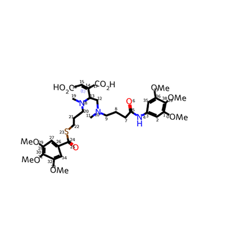 COc1cc(NC(=O)CCCN(C)CC(/C(=C\C(=O)O)C(=O)O)N(C)CCCSC(=O)c2cc(OC)c(OC)c(OC)c2)cc(OC)c1OC